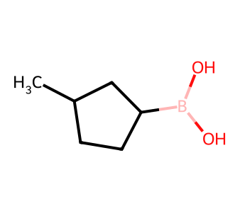 CC1CCC(B(O)O)C1